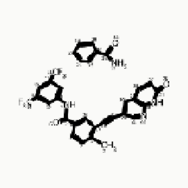 Cc1ccc(C(=O)Nc2cc(C(F)(F)F)cc(C(F)(F)F)c2)cc1C#Cc1cnc2[nH]c(=O)ccc2c1.NC(=O)c1ccccc1